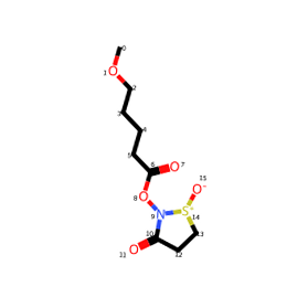 COCCCCC(=O)ON1C(=O)CC[S+]1[O-]